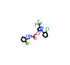 O=C(COc1cc(C(F)(F)F)nn1-c1ccccc1Cl)NCc1ccccc1Br